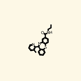 CCCNC(=O)c1ccc2c(c1)N=C(c1ncccc1C)c1ccccc1S2